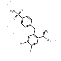 C=C(c1cc(F)c(Br)cc1Cc1ccc(S(N)(=O)=O)cc1)C(F)(F)F